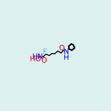 O=C(CCCCCC(F)C(=O)NO)Nc1ccccc1